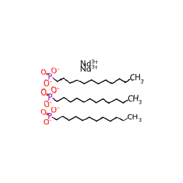 CCCCCCCCCCCCP(=O)([O-])[O-].CCCCCCCCCCCCP(=O)([O-])[O-].CCCCCCCCCCCCP(=O)([O-])[O-].[Nd+3].[Nd+3]